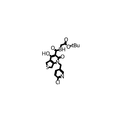 CC(C)(C)OC(=O)CBC(=O)c1c(O)c2c(n(Cc3ccc(Cl)nc3)c1=O)CSC2